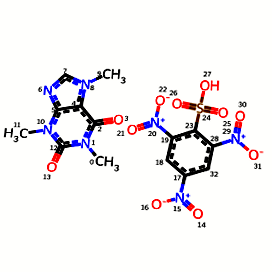 Cn1c(=O)c2c(ncn2C)n(C)c1=O.O=[N+]([O-])c1cc([N+](=O)[O-])c(S(=O)(=O)O)c([N+](=O)[O-])c1